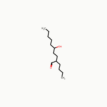 CCCCCC(O)CCC(C=O)CCCC